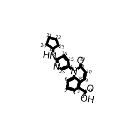 O=C(O)c1cccc2c1ccc(=O)n2-c1ccc(NC2CCCC2)nc1